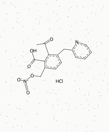 CC(=O)c1c(Cc2ccccn2)ccc(CO[N+](=O)[O-])c1C(=O)O.Cl